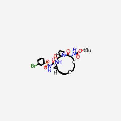 CC(C)(C)OC(=O)N[C@H]1CCCCCC=C=C[C@@H]2C[C@@]2(C(=O)NS(=O)(=O)c2cccc(Br)c2)NC(=O)[C@@H]2CCCN2C1=O